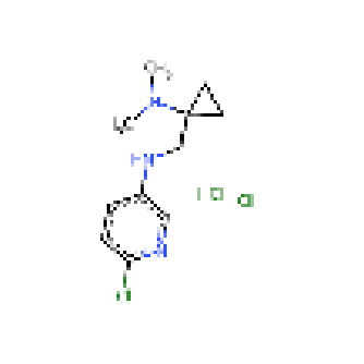 CN(C)C1(CNc2ccc(Cl)nc2)CC1.Cl.Cl